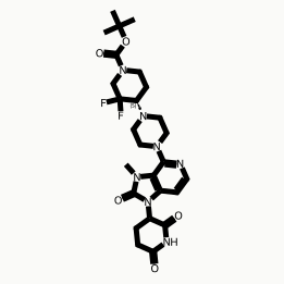 Cn1c(=O)n(C2CCC(=O)NC2=O)c2ccnc(N3CCN([C@H]4CCN(C(=O)OC(C)(C)C)CC4(F)F)CC3)c21